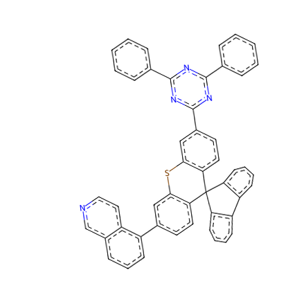 c1ccc(-c2nc(-c3ccccc3)nc(-c3ccc4c(c3)Sc3cc(-c5cccc6cnccc56)ccc3C43c4ccccc4-c4ccccc43)n2)cc1